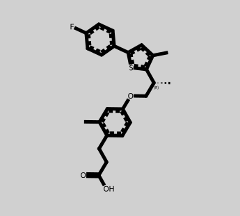 Cc1cc(OC[C@@H](C)c2sc(-c3ccc(F)cc3)cc2C)ccc1CCC(=O)O